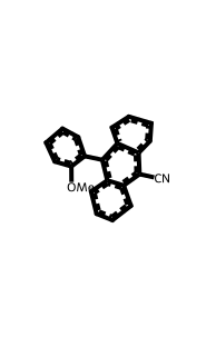 COc1ccccc1-c1c2ccccc2c(C#N)c2ccccc12